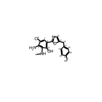 CNc1c(N)c(Cl)cc(-c2ncc(Cc3ccc(F)cc3)o2)c1O